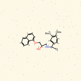 CCC(NCC(O)COc1cccc2ccccc12)c1ccc(OC)c(OC)c1